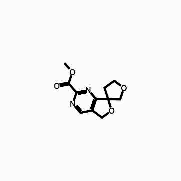 COC(=O)c1ncc2c(n1)C1(CCOC1)OC2